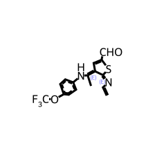 C=C/N=C1/SC(C=O)=C/C1=C(/C)Nc1ccc(OC(F)(F)F)cc1